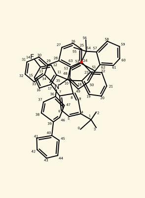 CC(C)(C)c1ccc2c(c1)C1(c3cc(F)ccc3-2)c2ccccc2-c2cccc(-c3ccccc3N(c3ccc(-c4ccccc4)cc3)c3ccc4c(c3)C(C)(C)c3ccccc3-4)c21